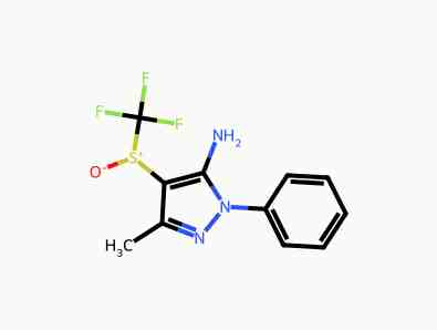 Cc1nn(-c2ccccc2)c(N)c1[S+]([O-])C(F)(F)F